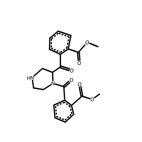 COC(=O)c1ccccc1C(=O)C1CNCCN1C(=O)c1ccccc1C(=O)OC